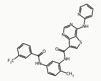 Cc1ccc(NC(=O)c2cccc(C(F)(F)F)c2)cc1NC(=O)c1csc2c(Nc3ccccn3)ncnc12